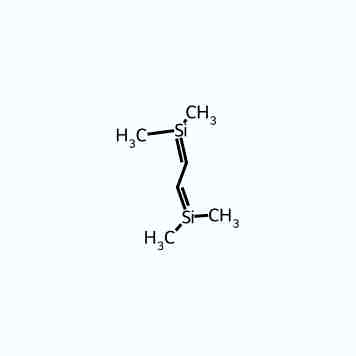 C[Si](C)=CC=[Si](C)C